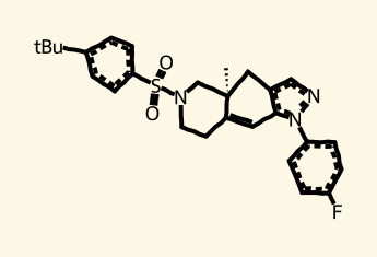 CC(C)(C)c1ccc(S(=O)(=O)N2CCC3=Cc4c(cnn4-c4ccc(F)cc4)C[C@]3(C)C2)cc1